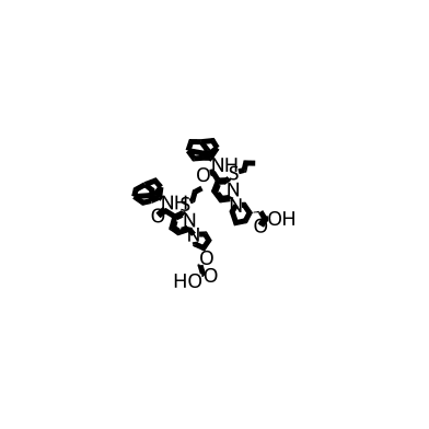 CCCSc1nc(N2CCC[C@@H](CC(=O)O)C2)ccc1C(=O)NC1C2CC3CC(C2)CC1C3.CCCSc1nc(N2CC[C@H](OCC(=O)O)C2)ccc1C(=O)NC1C2CC3CC(C2)CC1C3